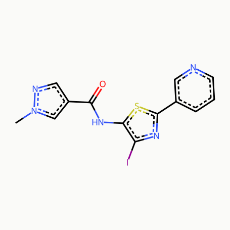 Cn1cc(C(=O)Nc2sc(-c3cccnc3)nc2I)cn1